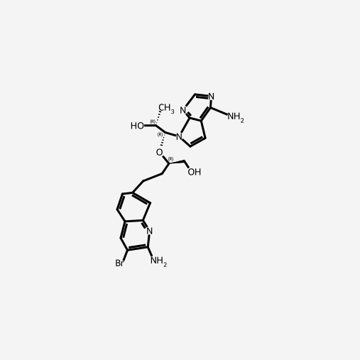 C[C@@H](O)[C@@H](O[C@@H](CO)CCc1ccc2cc(Br)c(N)nc2c1)n1ccc2c(N)ncnc21